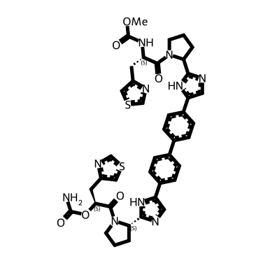 COC(=O)N[C@@H](Cc1cscn1)C(=O)N1CCCC1c1ncc(-c2ccc(-c3ccc(-c4cnc([C@@H]5CCCN5C(=O)[C@H](Cc5cscn5)OC(N)=O)[nH]4)cc3)cc2)[nH]1